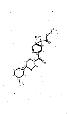 CCOC(=O)C1(C)c2ccc(C(=O)N3CCC(N4CCCC(C)C4)CC3)cc21